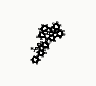 CC1(C)c2cc(-c3ccccc3)ccc2-c2ccc(N(c3ccccc3)c3ccc4c(c3)C3(c5ccccc5-4)c4ccccc4-c4c3oc3ccccc43)cc21